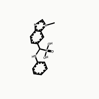 Cn1cnc2ccc(C(Nc3ccccc3)P(=O)(O)O)cc21